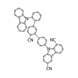 N#Cc1ccc2c(c1)c1cccc(C#N)c1n2-c1ccc(-c2cc(-c3ccccc3-n3c4ccccc4c4ccccc43)ccc2C#N)cc1